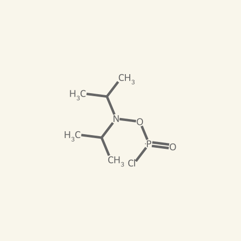 CC(C)N(O[P](=O)Cl)C(C)C